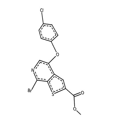 COC(=O)c1cc2c(Oc3ccc(Cl)cc3)cnc(Br)c2s1